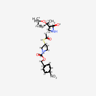 C[SiH](C)O[C@](C)([C@H]1C(=O)N[C@@H]1CC(=O)S[C@H]1CCN(C(=O)OCc2ccc([N+](=O)[O-])cc2)C1)C(C)(C)C